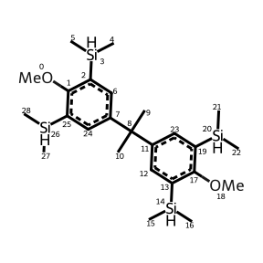 COc1c([SiH](C)C)cc(C(C)(C)c2cc([SiH](C)C)c(OC)c([SiH](C)C)c2)cc1[SiH](C)C